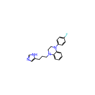 Fc1ccc(N2CCN(CCCc3cnc[nH]3)c3ccccc32)cc1